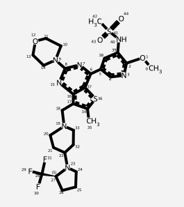 COc1ncc(-c2nc(N3CCOCC3)nc3c(CN4CCC(N5CCC[C@H]5C(F)(F)F)CC4)c(C)sc23)cc1NS(C)(=O)=O